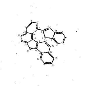 c1ccc2sc(-c3cccc4ccc5sc6c7ccccc7ccc6c5c34)cc2c1